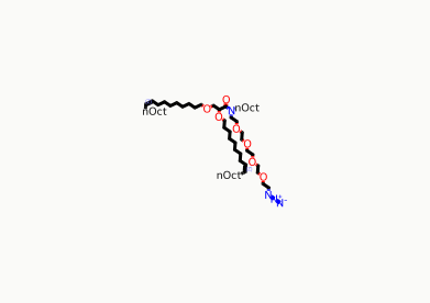 CCCCCCCC/C=C\CCCCCCCCOCC(OCCCCCCCC/C=C\CCCCCCCC)C(=O)N(CCCCCCCC)CCOCCOCCOCCOCCN=[N+]=[N-]